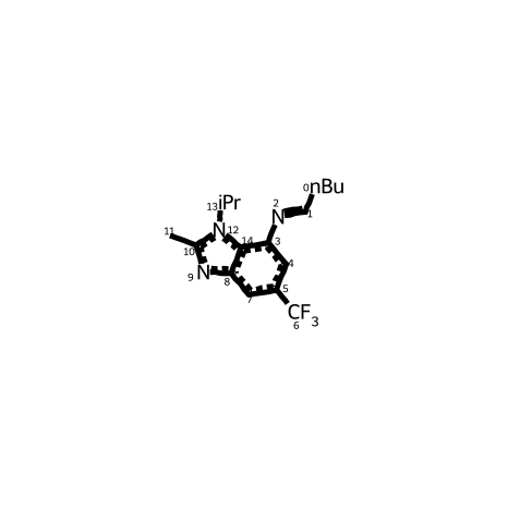 CCCCC=Nc1cc(C(F)(F)F)cc2nc(C)n(C(C)C)c12